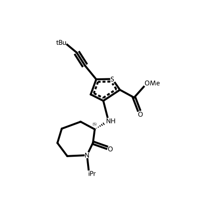 COC(=O)c1sc(C#CC(C)(C)C)cc1N[C@H]1CCCCN(C(C)C)C1=O